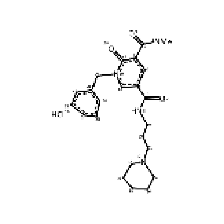 CNC(=O)c1cc(C(=O)NCCCN2CCCCC2)cn(Cc2ccccc2)c1=O.Cl